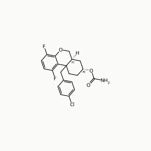 NC(=O)O[C@@H]1CCC2(Cc3ccc(Cl)cc3)c3c(F)ccc(F)c3OC[C@H]2C1